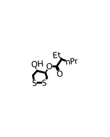 CCCC(CC)C(=O)O[C@H]1CSSC[C@@H]1O